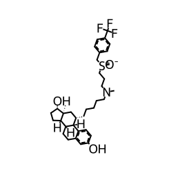 CN(CCCCC[C@H]1C[C@]2(C)[C@@H](O)CC[C@H]2[C@@H]2CCc3cc(O)ccc3[C@@H]12)CCC[S+]([O-])Cc1ccc(C(F)(F)F)cc1